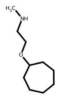 CNCCOC1CCCCCC1